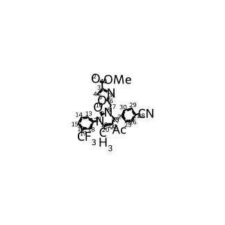 COC(=O)c1coc(CN2C(=O)N(c3cccc(C(F)(F)F)c3)C(C)=C(C(C)=O)[C@H]2c2ccc(C#N)cc2)n1